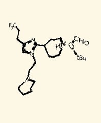 CC(C)(C)OC=O.FC(F)(F)CCc1cn(CCN2CCCC2)c(C2CCNCC2)n1